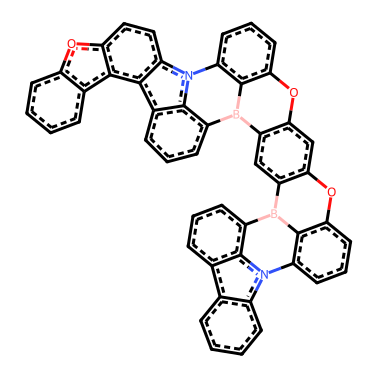 c1cc2c3c(c1)-n1c4ccccc4c4cccc(c41)B3c1cc3c(cc1O2)Oc1cccc2c1B3c1cccc3c4c5c(ccc4n-2c13)oc1ccccc15